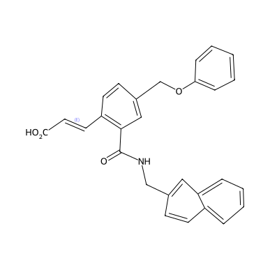 O=C(O)/C=C/c1ccc(COc2ccccc2)cc1C(=O)NCc1ccc2ccccc2c1